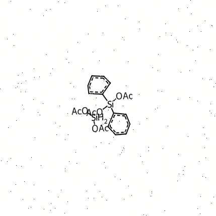 CC(=O)O[SiH2]OC(C)=O.CC(=O)O[Si](OC(C)=O)(c1ccccc1)c1ccccc1